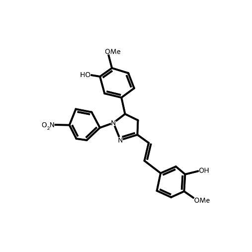 COc1ccc(C=CC2=NN(c3ccc([N+](=O)[O-])cc3)C(c3ccc(OC)c(O)c3)C2)cc1O